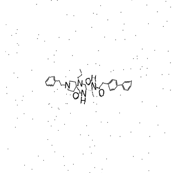 CCCN1C(=O)[C@H](C(C)NC(=O)Cc2ccc(-c3ccccc3)cc2)NC(=O)C12CCN(CCc1ccccc1)CC2